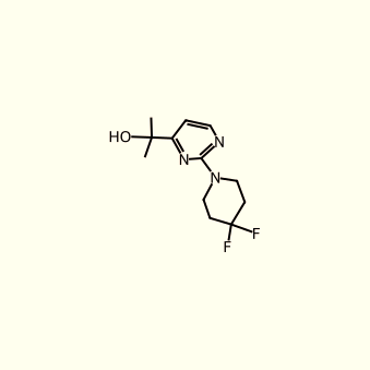 CC(C)(O)c1ccnc(N2CCC(F)(F)CC2)n1